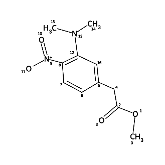 COC(=O)Cc1ccc([N+](=O)[O-])c(N(C)C)c1